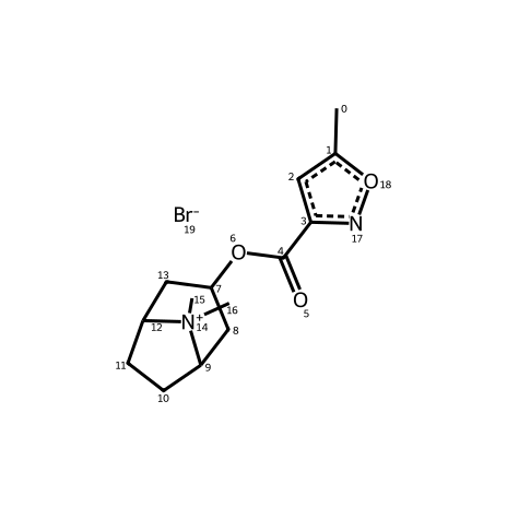 Cc1cc(C(=O)OC2CC3CCC(C2)[N+]3(C)C)no1.[Br-]